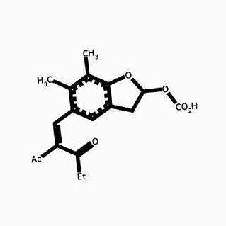 CCC(=O)C(=Cc1cc2c(c(C)c1C)OC(OC(=O)O)C2)C(C)=O